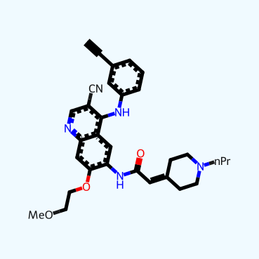 C#Cc1cccc(Nc2c(C#N)cnc3cc(OCCOC)c(NC(=O)C=C4CCN(CCC)CC4)cc23)c1